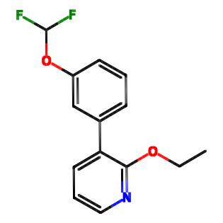 CCOc1ncccc1-c1cccc(OC(F)F)c1